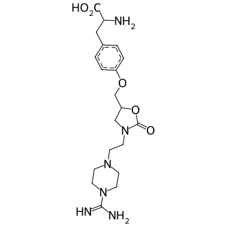 N=C(N)N1CCN(CCN2CC(COc3ccc(CC(N)C(=O)O)cc3)OC2=O)CC1